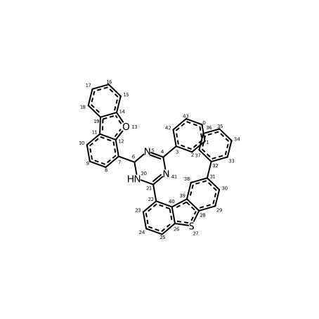 c1ccc(C2=NC(c3cccc4c3oc3ccccc34)NC(c3cccc4sc5ccc(-c6ccccc6)cc5c34)=N2)cc1